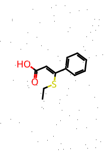 CCSC(=CC(=O)O)c1ccccc1